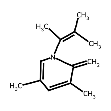 C=C1C(C)=CC(C)=CN1C(C)=C(C)C